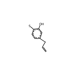 C=CCc1ccc([S])c(O)c1